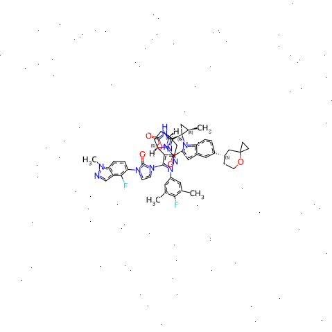 Cc1cc(-n2nc3c(c2-n2ccn(-c4ccc5c(cnn5C)c4F)c2=O)[C@@H]2CC[C@H](C3)N2C(=O)c2cc3cc([C@H]4CCOC5(CC5)C4)ccc3n2[C@]2(c3noc(=O)[nH]3)C[C@H]2C)cc(C)c1F